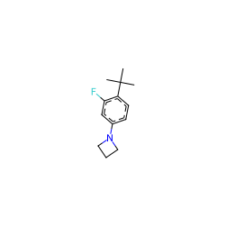 CC(C)(C)c1ccc(N2CCC2)cc1F